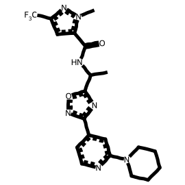 CC(NC(=O)c1cc(C(F)(F)F)nn1C)c1nc(-c2ccnc(N3CCCCC3)c2)no1